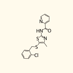 Cc1nc(NC(=O)c2ccccn2)sc1SCc1ccccc1Cl